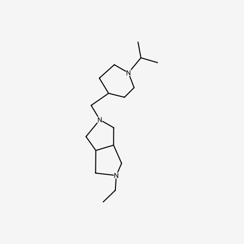 CCN1CC2CN(CC3CCN(C(C)C)CC3)CC2C1